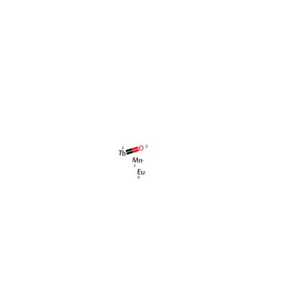 [Eu].[Mn].[O]=[Tb]